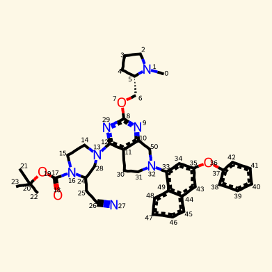 CN1CCC[C@H]1COc1nc2c(c(N3CCN(C(=O)OC(C)(C)C)C(CC#N)C3)n1)CCN(c1cc(Oc3ccccc3)cc3ccccc13)C2